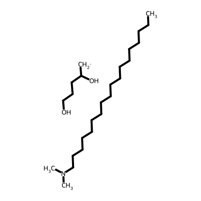 CCCCCCCCCCCCCCCCCCN(C)C.[CH2]C(O)CCCO